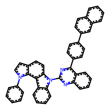 c1ccc(-n2ccc3ccc4c(c5ccccc5n4-c4nc(-c5ccc(-c6ccc7ccccc7c6)cc5)c5ccccc5n4)c32)cc1